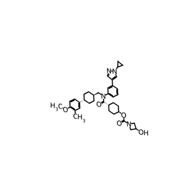 COc1ccc([C@H]2CC[C@H](CN(c3cccc(-c4cnn(C5CC5)c4)c3)C(=O)[C@H]3CC[C@H](OC(=O)N4CC(O)C4)CC3)CC2)cc1C